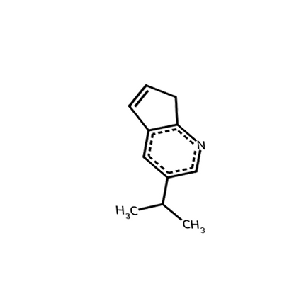 CC(C)c1cnc2c(c1)C=CC2